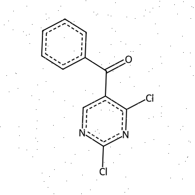 O=C(c1ccccc1)c1cnc(Cl)nc1Cl